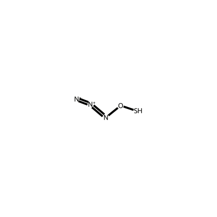 [N-]=[N+]=NOS